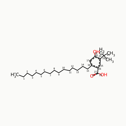 CCCCCCCCCCCCCCCCc1cc(O)c(C(C)(C)C)cc1C(=O)O